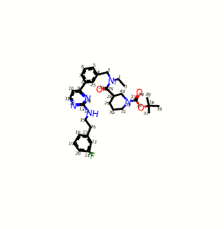 CCN(Cc1cccc(-c2ccnc(NCCc3cccc(F)c3)n2)c1)C(=O)C1CCCN(C(=O)OC(C)(C)C)C1